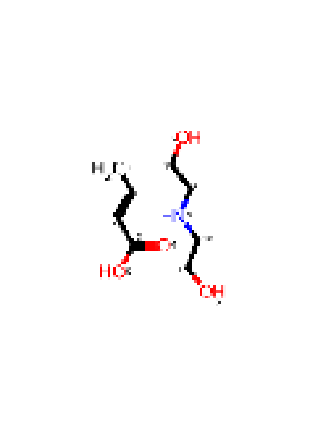 C/C=C/C(=O)O.OCCNCCO